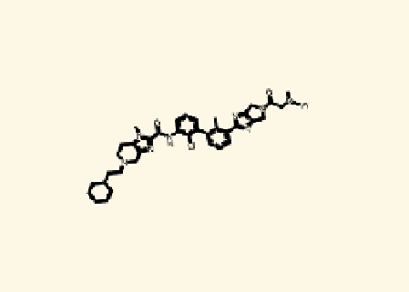 Cc1c(-c2nc3c(s2)CN(C(=O)CN(C)C(C)C)C3)cccc1-c1cccc(NC(=O)c2nc3c(n2C)CCN(CCC2CCCCC2)C3)c1Cl